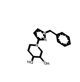 OC1CCN(c2ccn(Cc3ccccc3)n2)CC1O